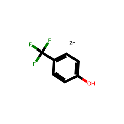 Oc1ccc(C(F)(F)F)cc1.[Zr]